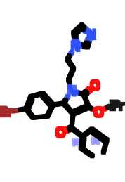 C/C=C\C(=C/C)C(=O)C1=C(OC(C)C)C(=O)N(CCCn2ccnc2)C1C1=CC=C(Br)CC1